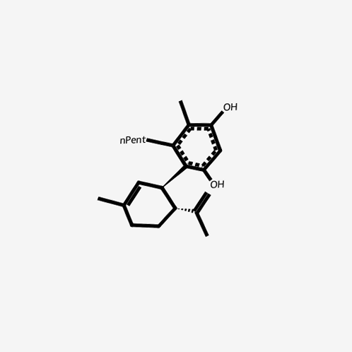 C=C(C)[C@@H]1CCC(C)=C[C@H]1c1c(O)cc(O)c(C)c1CCCCC